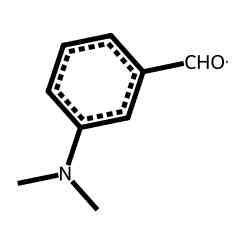 CN(C)c1cccc([C]=O)c1